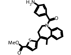 COC(=O)c1ccc(C2=C(C)c3ccccc3N(C(=O)c3ccc(N)cc3)CC2)s1